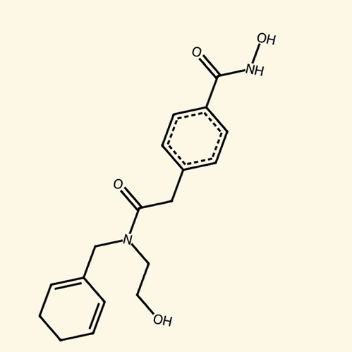 O=C(NO)c1ccc(CC(=O)N(CCO)CC2=CCCC=C2)cc1